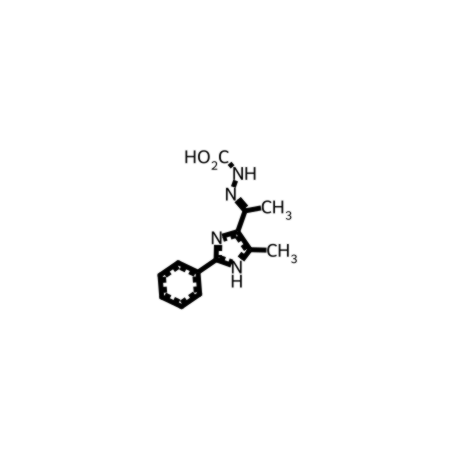 CC(=NNC(=O)O)c1nc(-c2ccccc2)[nH]c1C